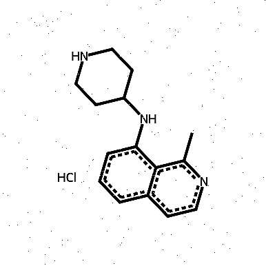 Cc1nccc2cccc(NC3CCNCC3)c12.Cl